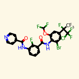 O=C(Nc1cccc(C(=O)Nc2c(Br)cc(C(F)(C(F)(F)F)C(F)(F)Cl)cc2OC(F)F)c1F)c1ccncc1